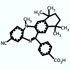 CN1c2ccc(C#N)cc2N=C(c2ccc(C(=O)O)cc2)c2cc3c(cc21)C(C)(C)CCC3(C)C